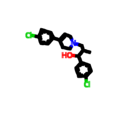 CC(CN1CC=C(c2ccc(Cl)cc2)CC1)C(O)c1ccc(Cl)cc1